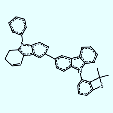 CC1(C)Sc2cccc(-n3c4ccccc4c4cc(-c5ccc6c(c5)c5c(n6-c6ccccc6)CCC=C5)ccc43)c21